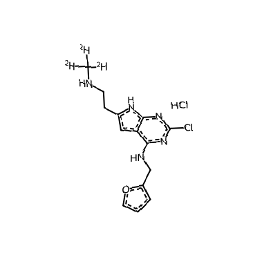 Cl.[2H]C([2H])([2H])NCCc1cc2c(NCc3ccco3)nc(Cl)nc2[nH]1